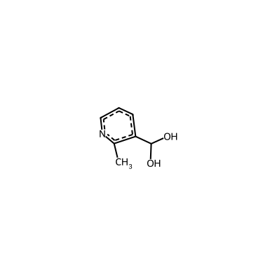 Cc1ncccc1C(O)O